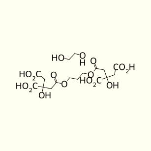 O=C(O)CC(O)(CC(=O)OCCCOC(=O)CC(O)(CC(=O)O)C(=O)O)C(=O)O.OCCO